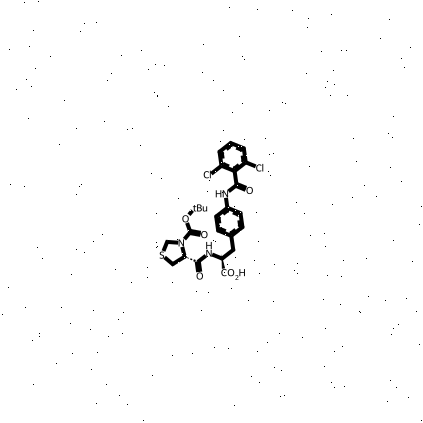 CC(C)(C)OC(=O)N1CSC[C@H]1C(=O)N[C@@H](Cc1ccc(NC(=O)c2c(Cl)cccc2Cl)cc1)C(=O)O